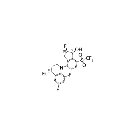 CC[C@@H]1CCN(c2ccc(S(=O)(=O)C(F)(F)F)c3c2C[C@@H](F)[C@H]3O)c2c(F)cc(F)cc21